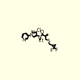 C=C(CSCC1CC1(F)F)C(=O)N(CC)c1cn(-c2cccnc2)nc1Cl